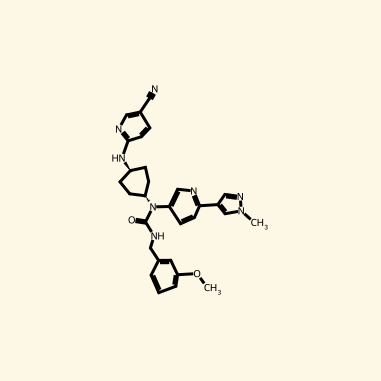 COc1cccc(CNC(=O)N(c2ccc(-c3cnn(C)c3)nc2)[C@H]2CC[C@H](Nc3ccc(C#N)cn3)CC2)c1